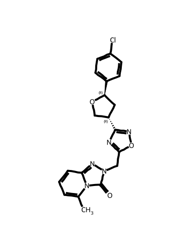 Cc1cccc2nn(Cc3nc([C@@H]4CO[C@@H](c5ccc(Cl)cc5)C4)no3)c(=O)n12